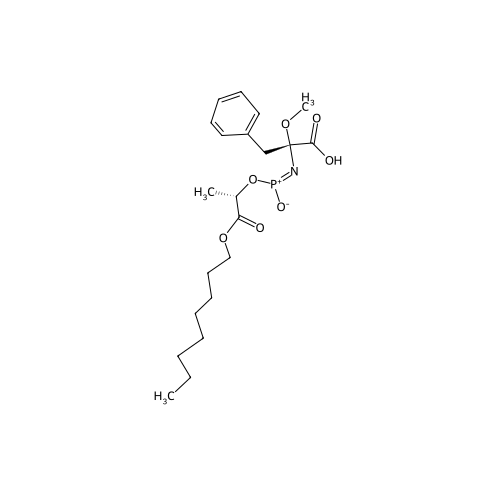 CCCCCCCCOC(=O)[C@H](C)O[P+]([O-])=N[C@](Cc1ccccc1)(OC)C(=O)O